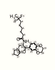 CC(F)(F)CCCCCC(=O)N[C@H](CN1CCCC1)[C@H](O)c1ccc2c(c1)OCCO2